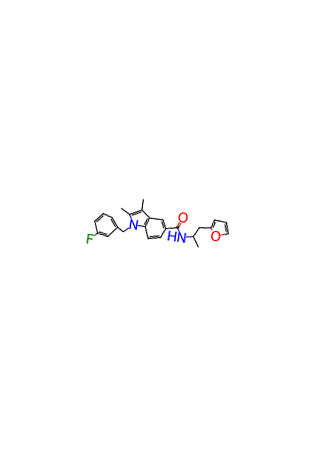 Cc1c(C)n(Cc2cccc(F)c2)c2ccc(C(=O)NC(C)Cc3ccco3)cc12